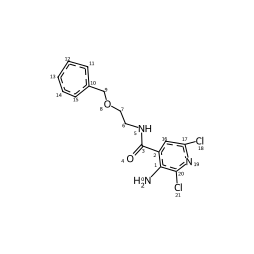 Nc1c(C(=O)NCCOCc2ccccc2)cc(Cl)nc1Cl